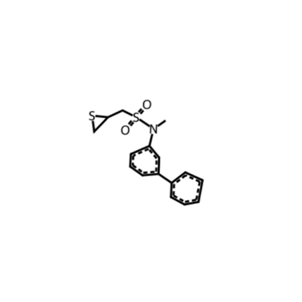 CN(c1cccc(-c2ccccc2)c1)S(=O)(=O)CC1CS1